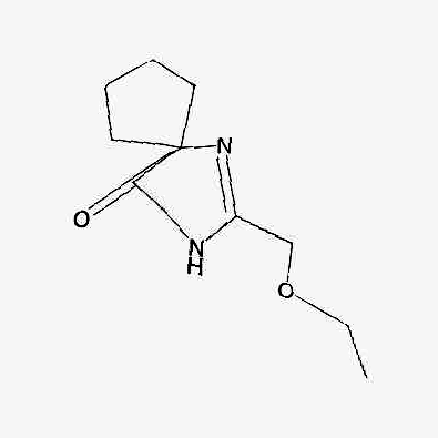 CCOCC1=NC2(CCCC2)C(=O)N1